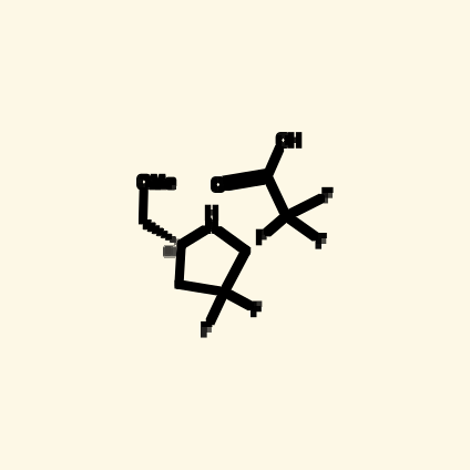 COC[C@H]1CC(F)(F)CN1.O=C(O)C(F)(F)F